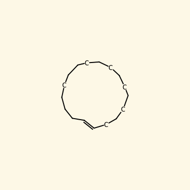 C1=C/CCCCCCCCCCCCCCC/1